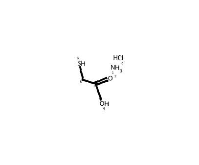 Cl.N.O=C(O)CS